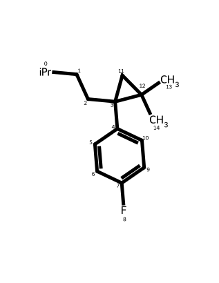 CC(C)CCC1(c2ccc(F)cc2)CC1(C)C